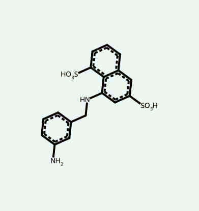 Nc1cccc(CNc2cc(S(=O)(=O)O)cc3cccc(S(=O)(=O)O)c23)c1